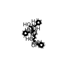 C[C@H](O)[C@@H](NCc1ccccc1)C(O)(NCc1ccccc1)c1cnc(C[C@H](O)[C@@H](CO)NCc2ccccc2)cn1